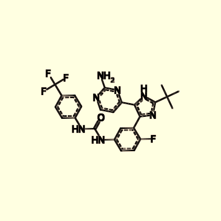 CC(C)(C)c1nc(-c2cc(NC(=O)Nc3ccc(C(F)(F)F)cc3)ccc2F)c(-c2ccnc(N)n2)[nH]1